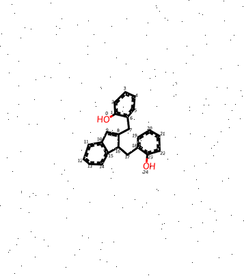 Oc1ccccc1CC1=Cc2ccccc2C1Cc1ccccc1O